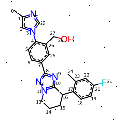 Cc1cn(-c2ccc(-c3nc4n(n3)CCCC4c3ccc(F)cc3C)cc2CO)cn1